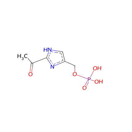 CC(=O)c1nc(COP(=O)(O)O)c[nH]1